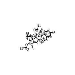 CCC(=O)OCC(=O)[C@@]1(OC(=O)CC)[C@@H](C)C[C@H]2[C@@H]3CCC4=CC(=O)C=C[C@]4(C)C3(F)[C@@H](OC(=O)CC)C[C@@]21C